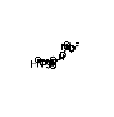 O=C1Cc2cc(S(=O)(=O)CCCN3CCC(c4noc5cc(F)ccc45)CC3)sc2CN1